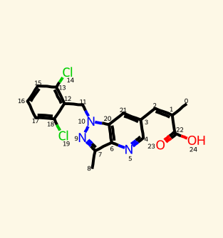 CC(=Cc1cnc2c(C)nn(Cc3c(Cl)cccc3Cl)c2c1)C(=O)O